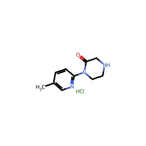 Cc1ccc(N2CCNCC2=O)nc1.Cl